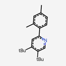 Cc1ccc(-c2cc(C(C)(C)C)c(C(C)(C)C)cn2)c(C)c1